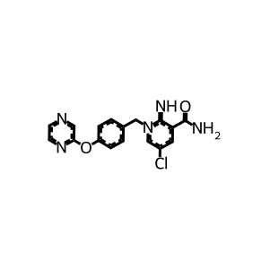 N=c1c(C(N)=O)cc(Cl)cn1Cc1ccc(Oc2cnccn2)cc1